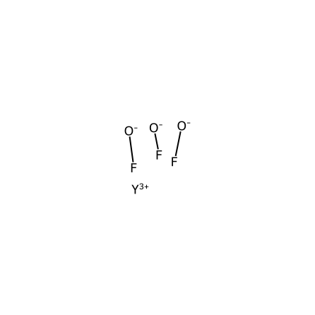 [O-]F.[O-]F.[O-]F.[Y+3]